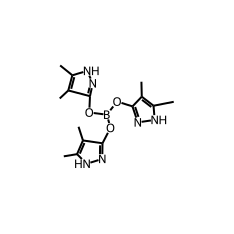 Cc1[nH]nc(OB(Oc2n[nH]c(C)c2C)Oc2n[nH]c(C)c2C)c1C